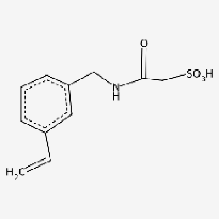 C=Cc1cccc(CNC(=O)CS(=O)(=O)O)c1